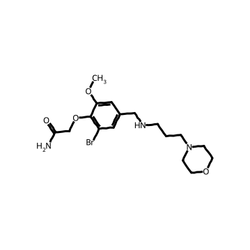 COc1cc(CNCCCN2CCOCC2)cc(Br)c1OCC(N)=O